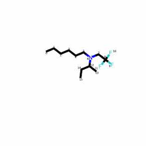 CCCCCCN(CC(F)(F)F)C(C)CC